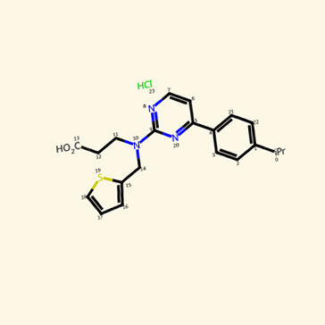 CC(C)c1ccc(-c2ccnc(N(CCC(=O)O)Cc3cccs3)n2)cc1.Cl